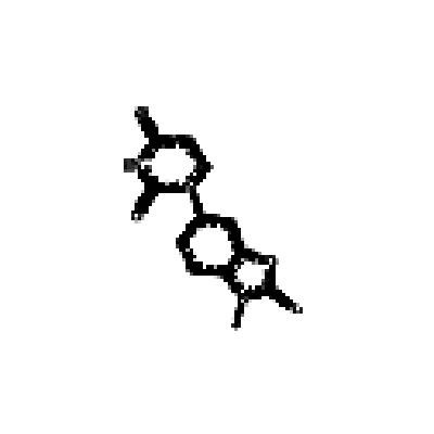 Cn1c(=O)oc2cc(-n3ccc(=O)[nH]c3=O)ccc21